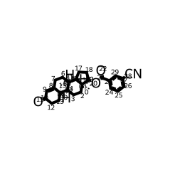 C[C@]12CC[C@H]3[C@@H](CCC4=CC(=O)CC[C@@]43C)[C@@H]1CC[C@@H]2OC(=O)c1cccc(C#N)c1